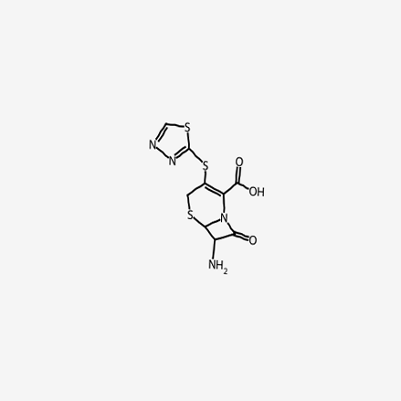 NC1C(=O)N2C(C(=O)O)=C(Sc3nncs3)CSC12